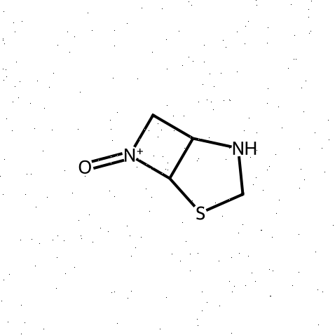 O=[N+]1CC2NCSC21